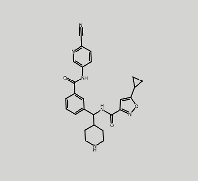 N#Cc1ccc(NC(=O)c2cccc(C(NC(=O)c3cc(C4CC4)on3)C3CCNCC3)c2)cn1